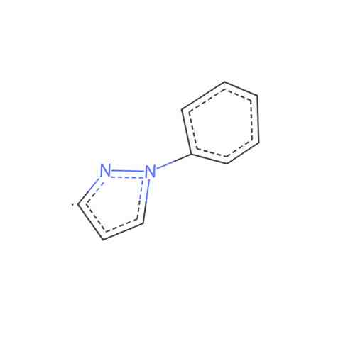 [c]1ccn(-c2ccccc2)n1